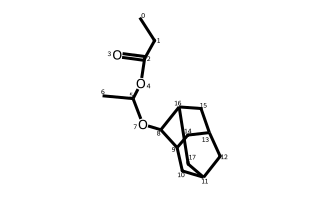 CCC(=O)OC(C)OC1C2CC3CC(C2)CC1C3